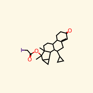 CC12CCC3C4CCC(=O)C=C4CC(C4CC4)C3C1C1CC1C2(C)OC(=O)CI